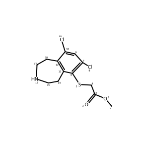 COC(=O)CSc1c(Cl)cc(Cl)c2c1CCNCC2